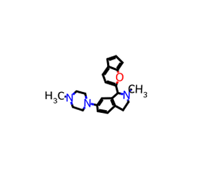 CN1CCN(c2ccc3c(c2)C(c2ccc4cccc-4o2)N(C)CC3)CC1